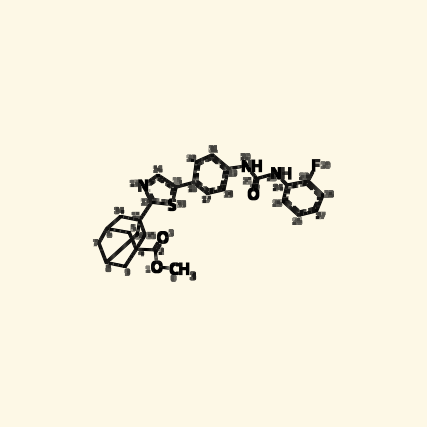 COC(=O)C12CC3CC(C1)CC(c1ncc(-c4ccc(NC(=O)Nc5ccccc5F)cc4)s1)(C3)C2